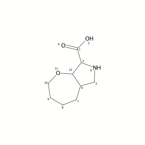 O=C(O)C1NCC2CCCCOC21